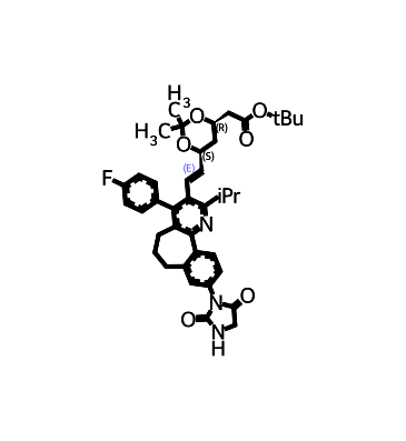 CC(C)c1nc2c(c(-c3ccc(F)cc3)c1/C=C/[C@@H]1C[C@H](CC(=O)OC(C)(C)C)OC(C)(C)O1)CCCc1cc(N3C(=O)CNC3=O)ccc1-2